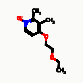 CCOCCOc1cc[n+]([O-])c(C)c1C